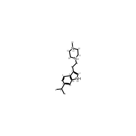 CC(C)c1ccc2c(CCN3CCN(C)CC3)c[nH]c2c1